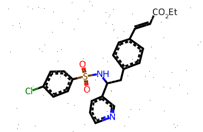 CCOC(=O)/C=C/c1ccc(CC(NS(=O)(=O)c2ccc(Cl)cc2)c2cccnc2)cc1